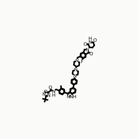 Cc1cc(-c2n[nH]c3ccc(-c4ccc(N5CCN(C6CCN(Cc7cc8c(cc7F)C(=O)N(C7CCC(=O)NC7=O)C8)CC6)CC5)cc4)cc23)ccc1CNC(=O)c1nc(C(C)(C)C)no1